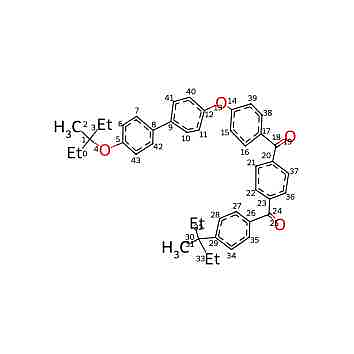 CCC(C)(CC)Oc1ccc(-c2ccc(Oc3ccc(C(=O)c4ccc(C(=O)c5ccc(C(C)(CC)CC)cc5)cc4)cc3)cc2)cc1